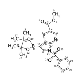 COC(=O)c1cnc2c(c1)c(B1OC(C)(C)C(C)(C)O1)cn2S(=O)(=O)c1ccccc1